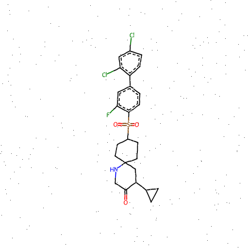 O=C1CNC2(CCC(S(=O)(=O)c3ccc(-c4ccc(Cl)cc4Cl)cc3F)CC2)CC1C1CC1